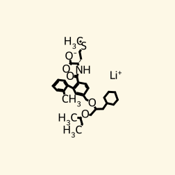 CCC(C)OCC(CC1CCCCC1)OCc1ccc(C(=O)N[C@@H](CCSC)C(=O)[O-])c(-c2ccccc2C)c1.[Li+]